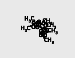 CCOP(=O)(OCC)OC(C(=O)OC)C(OP(=O)(OCC)OCC)C(=O)OC